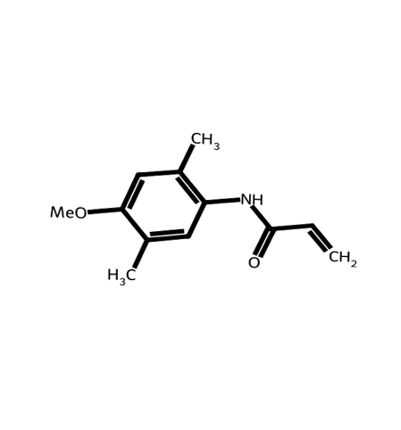 C=CC(=O)Nc1cc(C)c(OC)cc1C